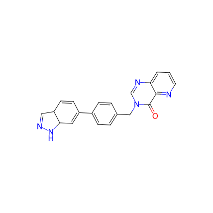 O=c1c2ncccc2ncn1Cc1ccc(C2=CC3NN=CC3C=C2)cc1